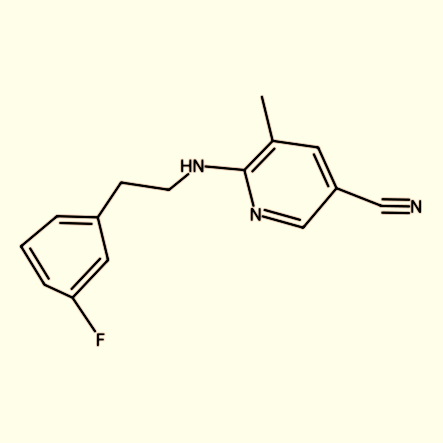 Cc1cc(C#N)cnc1NCCc1cccc(F)c1